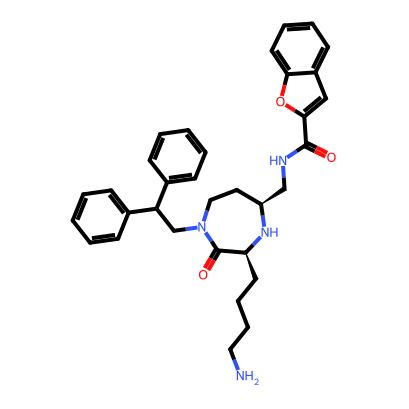 NCCCC[C@@H]1N[C@H](CNC(=O)c2cc3ccccc3o2)CCN(CC(c2ccccc2)c2ccccc2)C1=O